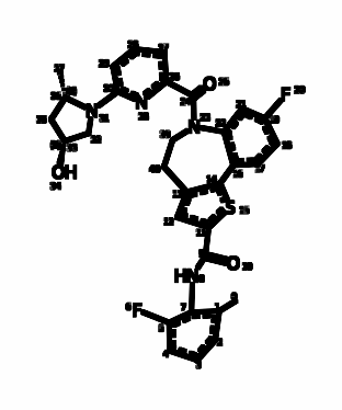 Cc1cccc(F)c1NC(=O)c1cc2c(s1)-c1ccc(F)cc1N(C(=O)c1cccc(N3C[C@@H](O)C[C@@H]3C)n1)CC2